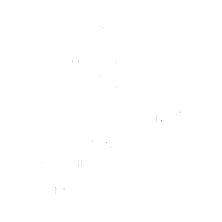 O=C(Nc1nccs1)/C(=N/OCc1nccs1)c1ccc(S(=O)(=O)C2CC2)cc1